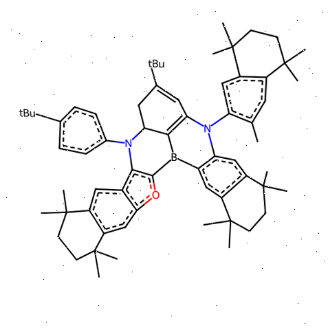 Cc1cc2c(cc1N1C3=C4B(c5cc6c(cc51)C(C)(C)CCC6(C)C)c1oc5cc6c(cc5c1N(c1ccc(C(C)(C)C)cc1)C4CC(C(C)(C)C)=C3)C(C)(C)CCC6(C)C)C(C)(C)CCC2(C)C